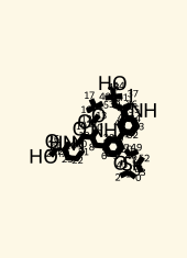 CC(C)[Si](Oc1cc(CC(NC(=O)OC(C)(C)C)C(=O)N2CCC[C@@H](C(=O)O)N2)cc(-c2ccc3[nH]c(I)c(CC(C)(C)CO)c3c2)c1)(C(C)C)C(C)C